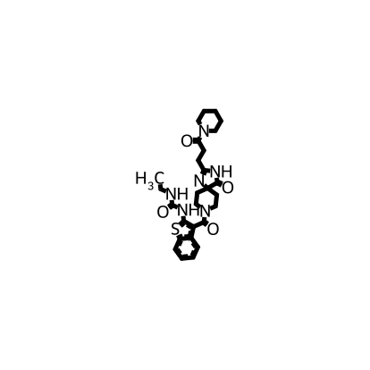 CCNC(=O)Nc1sc2ccccc2c1C(=O)N1CCC2(CC1)N=C(CCC(=O)N1CCCCC1)NC2=O